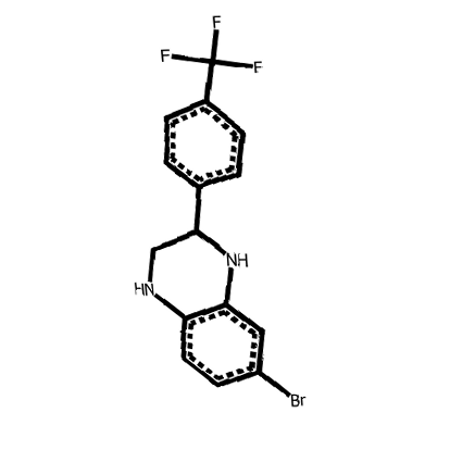 FC(F)(F)c1ccc(C2CNc3ccc(Br)cc3N2)cc1